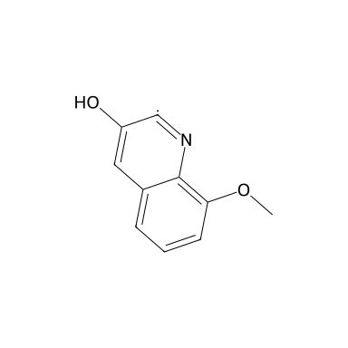 COc1cccc2cc(O)[c]nc12